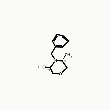 C[C@@H]1COC[C@@H](C)N1Cc1ccccc1